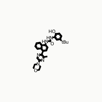 Cc1nc(N2CCOCC2)cnc1-c1ccc(NC(=O)Nc2cc(C(C)(C)C)ccc2O)c2ccccc12